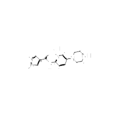 Cl.Cn1cc(C(=O)Nc2ccc(N3CCNCC3)cn2)cn1